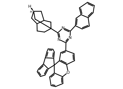 c1ccc2c(c1)Oc1ccc(-c3nc(-c4ccc5ccccc5c4)nc(C45CCC6C[C@H](CC6C4)C5)n3)cc1C21c2ccccc2-c2ccccc21